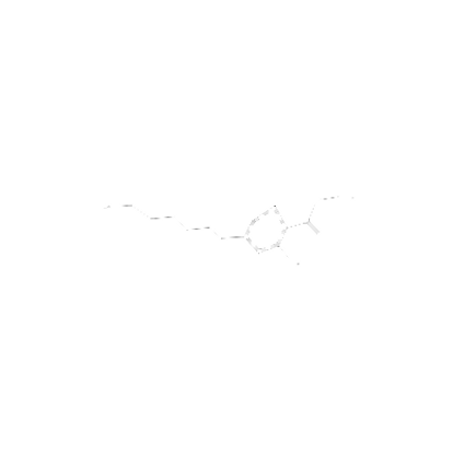 CCCCCCCCCCCCCCCCc1ccc(C(=O)OC(C)(C)C)c(O)c1